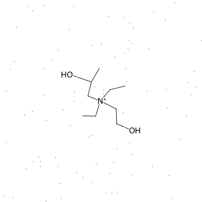 CC[N+](CC)(CCO)CC(C)O